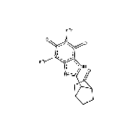 CCCn1c(=O)c2[nH]c(C3C4CCC3C(=O)C4)nc2n(CCC)c1=O